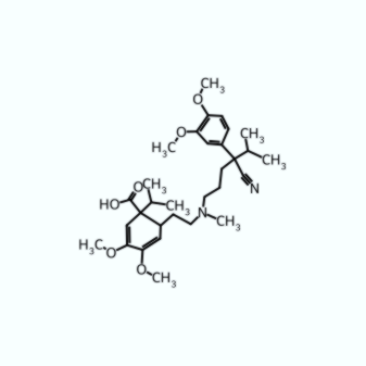 COC1=CC(CCN(C)CCCC(C#N)(c2ccc(OC)c(OC)c2)C(C)C)C(C(=O)O)(C(C)C)C=C1OC